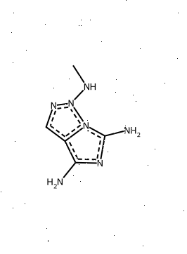 CNn1ncc2c(N)nc(N)n21